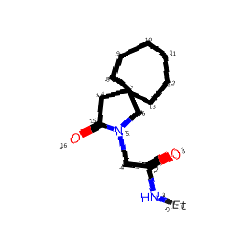 CCNC(=O)CN1CC2(CCCCCC2)CC1=O